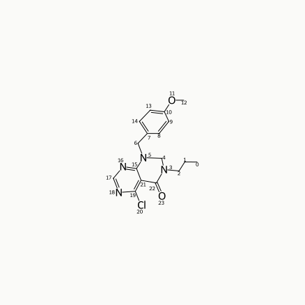 CCCN1CN(Cc2ccc(OC)cc2)c2ncnc(Cl)c2C1=O